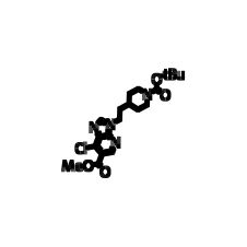 COC(=O)c1cnc2c(ncn2CCC2CCN(C(=O)OC(C)(C)C)CC2)c1Cl